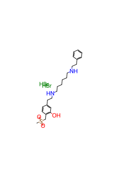 Br.Br.CS(=O)(=O)Cc1ccc(CCNCCCCCCNCCc2ccccc2)cc1O